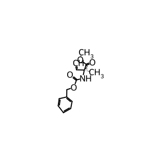 C=C[C@](C)(NC(=O)OCc1ccccc1)C(=O)OC